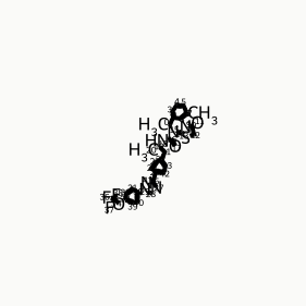 CCc1cccc(C)c1N1C(=O)CSC1=NC(=O)NC(C)Cc1ccc(-c2ncn(-c3ccc(OC(F)(F)F)cc3)n2)cc1